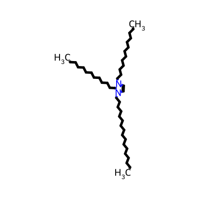 CCCCCCCCCCCCCCCCCN1C=CN(CCCCCCCCCCCCC)C1CCCCCCCCCCCC